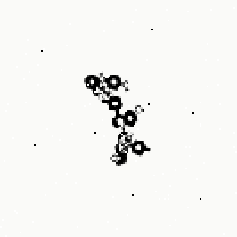 COc1ccc2c(c1)C(c1cccc(CN(Cc3ccccc3)S(=O)(=O)c3cc(OC)ccc3OC)c1)CCN2C(=O)CN(Cc1ccco1)S(=O)(=O)c1ccc(C)cc1